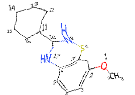 COc1cccc2c1SNC(C1CCCCC1)N2